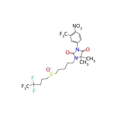 CC1(C)C(=O)N(c2ccc([N+](=O)[O-])c(C(F)(F)F)c2)C(=O)N1CCCCC[S+]([O-])CCCC(F)(F)C(F)(F)F